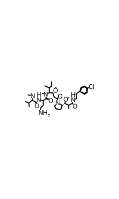 CCC(C)C(C(CC(=O)N1CCC[C@H]1C(OC)C(C)C(=O)NCCc1ccc(Cl)cc1)OC)N(C)C(=O)C(CCN)NC(=O)C(C(C)C)N(C)C